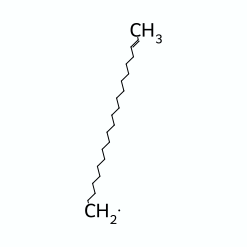 [CH2]CCCCCCCCCCCCCCCCCCC=CC